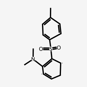 Cc1ccc(S(=O)(=O)C2=C(N(C)C)[C]=CC[CH]2)cc1